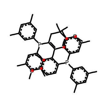 COC1=C(C)C(c2c(P(c3cc(C)cc(C)c3)c3cc(C)cc(C)c3)ccc(OC)c2C)=C(P(c2cc(C)cc(C)c2)c2cc(C)cc(C)c2)CC1(C)C